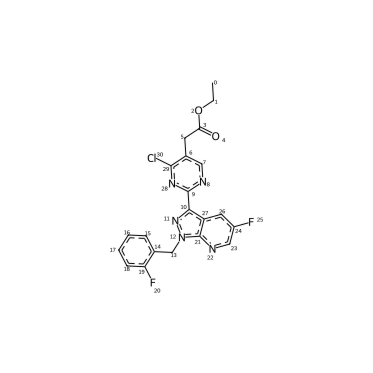 CCOC(=O)Cc1cnc(-c2nn(Cc3ccccc3F)c3ncc(F)cc23)nc1Cl